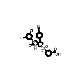 N#Cc1ccc(C2CN(S(=O)(=O)c3cccc(C(=O)O)c3)CC23NC(=O)N(c2cc(Cl)cc(Cl)c2)C3=O)cc1